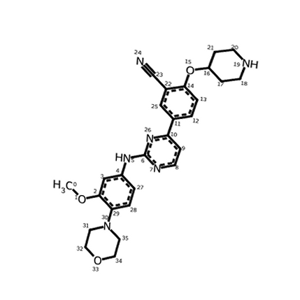 COc1cc(Nc2nccc(-c3ccc(OC4CCNCC4)c(C#N)c3)n2)ccc1N1CCOCC1